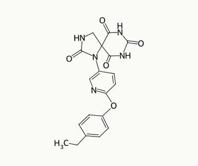 CCc1ccc(Oc2ccc(N3C(=O)NCC34C(=O)NC(=O)NC4=O)cn2)cc1